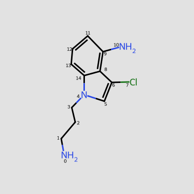 NCCCn1cc(Cl)c2c(N)cccc21